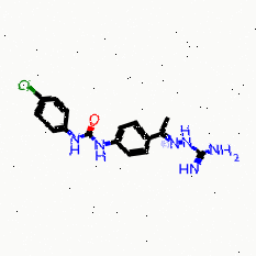 C/C(=N\NC(=N)N)c1ccc(NC(=O)Nc2ccc(Cl)cc2)cc1